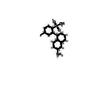 Cc1ccc(S(=O)(=O)O)c(-c2cccc3cc(N)ccc23)c1